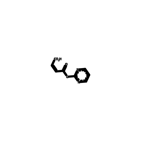 O=C(O)/C=C\C(=O)Oc1ncccn1